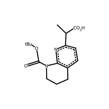 CC(C(=O)O)c1ccc2c(n1)N(C(=O)OC(C)(C)C)CCC2